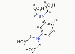 Cc1ccc(N(CC(=O)O)CC(=O)O)cc1N(CC(=O)O)CC(=O)O